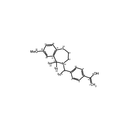 [2H]C(c1ccc(C(=C)O)cc1)N1CCSc2ccc(OC)cc2C1([2H])[2H]